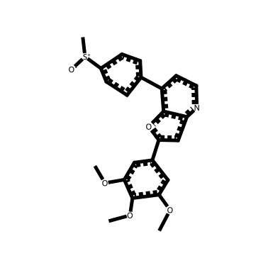 COc1cc(-c2cc3nccc(-c4ccc([S+](C)[O-])cc4)c3o2)cc(OC)c1OC